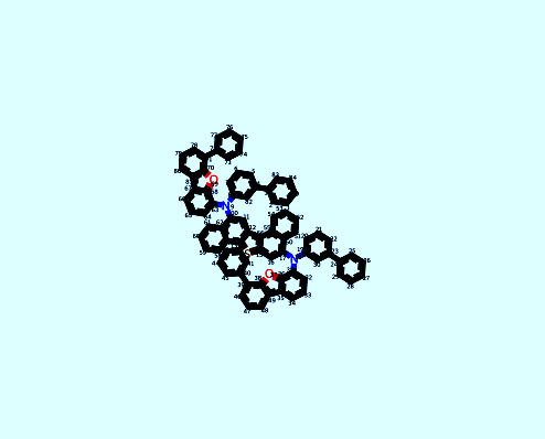 c1ccc(-c2cccc(N(c3cc4c(sc5cc(N(c6cccc(-c7ccccc7)c6)c6cccc7c6oc6c(-c8ccccc8)cccc67)c6ccccc6c54)c4ccccc34)c3cccc4c3oc3c(-c5ccccc5)cccc34)c2)cc1